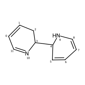 C1=CCC(C2C=CC=CN2)N=C1